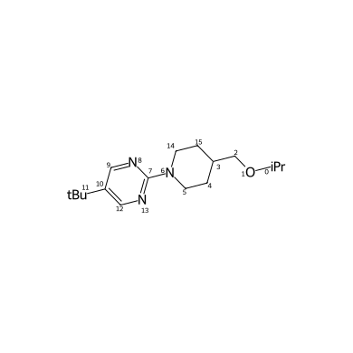 CC(C)OCC1CCN(c2ncc(C(C)(C)C)cn2)CC1